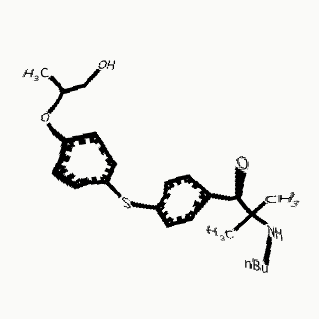 CCCCNC(C)(C)C(=O)c1ccc(Sc2ccc(OC(C)CO)cc2)cc1